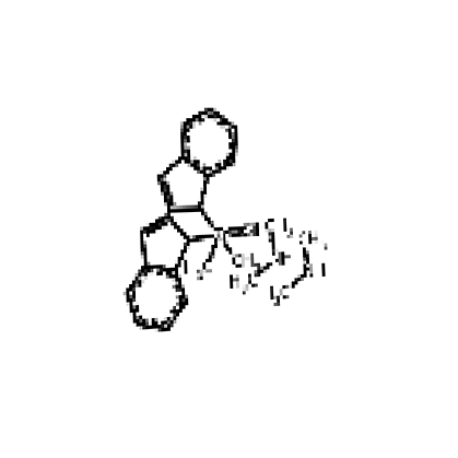 CNC.CNC.[CH3][Zr]([CH3])(=[SiH2])([CH]1C=Cc2ccccc21)[CH]1C=Cc2ccccc21